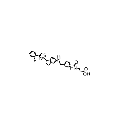 O=C(O)CCNC(=O)c1ccc(CNc2ccc3c(c2)CCC3c2nc(-c3ccccc3F)cs2)cc1